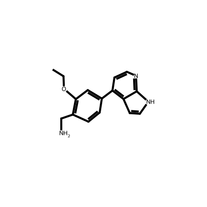 CCOc1cc(-c2ccnc3[nH]ccc23)ccc1CN